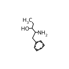 CCC(O)C(N)Cc1ccccc1